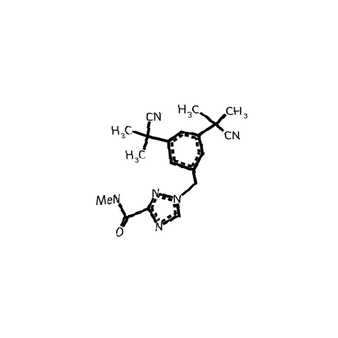 CNC(=O)c1ncn(Cc2cc(C(C)(C)C#N)cc(C(C)(C)C#N)c2)n1